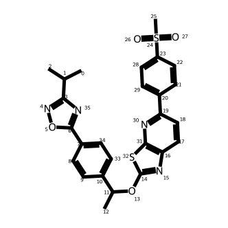 CC(C)c1noc(-c2ccc(C(C)Oc3nc4ccc(-c5ccc(S(C)(=O)=O)cc5)nc4s3)cc2)n1